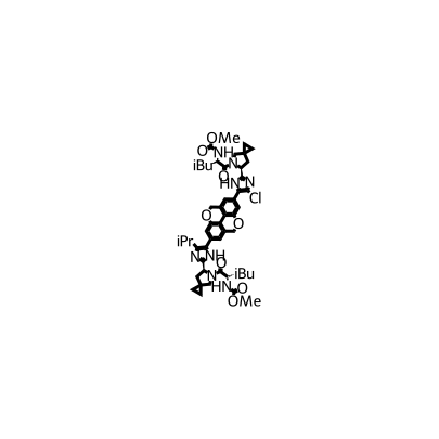 CC[C@H](C)[C@H](NC(=O)OC)C(=O)N1CC2(CC2)C[C@H]1c1nc(Cl)c(-c2cc3c4c(c2)OCc2cc(-c5[nH]c([C@@H]6CC7(CC7)CN6C(=O)[C@@H](NC(=O)OC)[C@@H](C)CC)nc5C(C)C)cc(c2-4)OC3)[nH]1